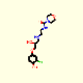 O=C(NCCNC[C@H](O)COc1ccc(O)c(Cl)c1)N1CCOCC1